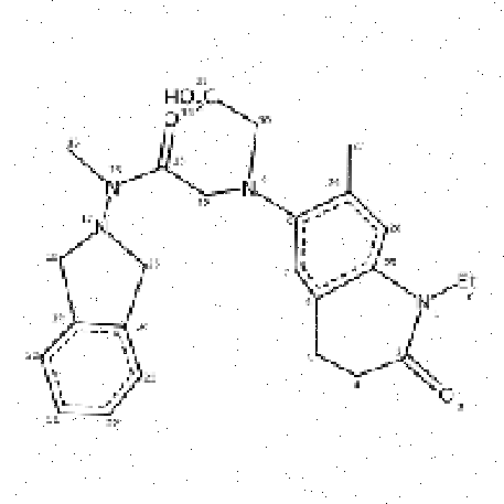 CCN1C(=O)CCc2cc(N(CC(=O)O)CC(=O)N(C)N3Cc4ccccc4C3)c(C)cc21